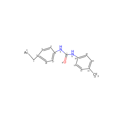 CC(=O)Cc1ccc(NC(=O)Nc2ccc(C(F)(F)F)cc2)cc1